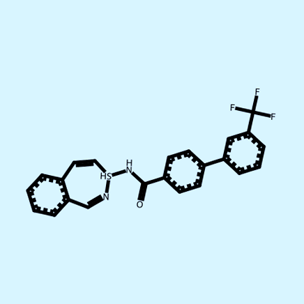 O=C(N[SH]1C=Cc2ccccc2C=N1)c1ccc(-c2cccc(C(F)(F)F)c2)cc1